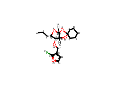 CCC[C@H]1O[C@@H]2OC3(CCCCC3)O[C@@H]2[C@H]1OCc1ccoc1F